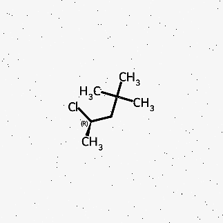 C[C@@H](Cl)CC(C)(C)C